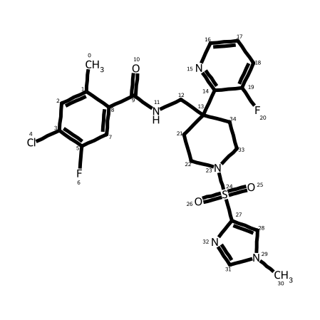 Cc1cc(Cl)c(F)cc1C(=O)NCC1(c2ncccc2F)CCN(S(=O)(=O)c2cn(C)cn2)CC1